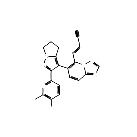 Cc1nc(-c2nn3c(c2-c2ccc4ncnn4c2/C=C/C#N)CCC3)ccc1Cl